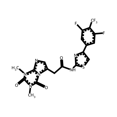 Cn1c(=O)n(C)c2ncc(CC(=O)Nc3nc(-c4cc(F)c(C(F)(F)F)c(F)c4)cs3)n2c1=O